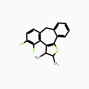 CC1C2=C(SC1C(F)(F)F)c1ccccc1Cc1ccc(F)c(F)c12